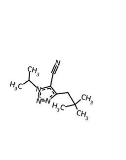 CC(C)n1nnc(CC(C)(C)C)c1C#N